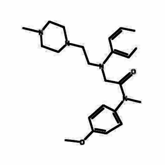 C/C=C\C(=C/C)N(CCN1CCN(C)CC1)CC(=O)N(C)c1ccc(OC)cc1